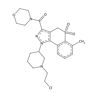 Cc1cccc2c1S(=O)(=O)Cc1c(C(=O)N3CCOCC3)nn(C3CCCN(CCCl)C3)c1-2